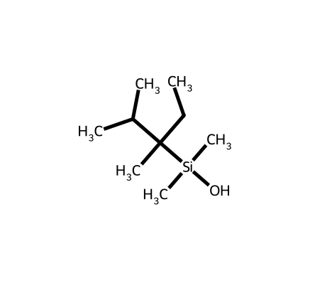 CCC(C)(C(C)C)[Si](C)(C)O